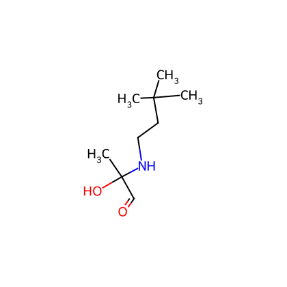 CC(C)(C)CCNC(C)(O)C=O